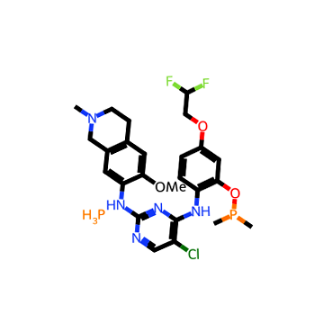 COc1cc2c(cc1Nc1ncc(Cl)c(Nc3ccc(OCC(F)F)cc3OP(C)C)n1)CN(C)CC2.P